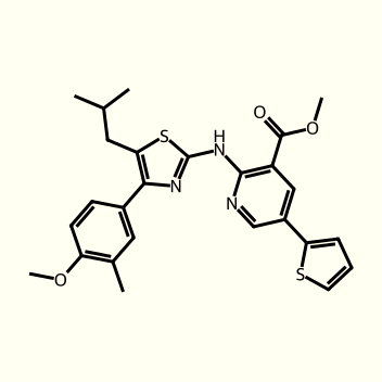 COC(=O)c1cc(-c2cccs2)cnc1Nc1nc(-c2ccc(OC)c(C)c2)c(CC(C)C)s1